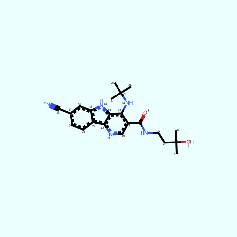 CC(C)(O)CCNC(=O)c1cnc2c([nH]c3cc(C#N)ccc32)c1NC(C)(C)C